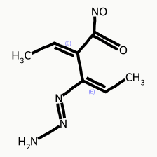 C/C=C(N=NN)\C(=C/C)C(=O)N=O